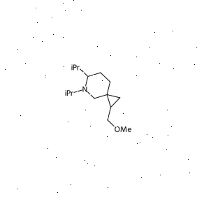 COCC1CC12CCC(C(C)C)N(C(C)C)C2